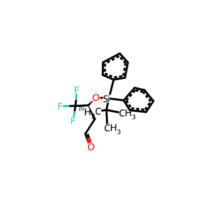 CC(C)(C)[Si](O[C@@H](CC=O)C(F)(F)F)(c1ccccc1)c1ccccc1